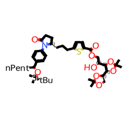 CCCCCC(O[Si](C)(C)C(C)(C)C)c1ccc(N2C(=O)CC[C@@H]2CCCc2ccc(C(=O)OC[C@H](O)[C@H]3OC(C)(C)O[C@@H]3[C@H]3COC(C)(C)O3)s2)cc1